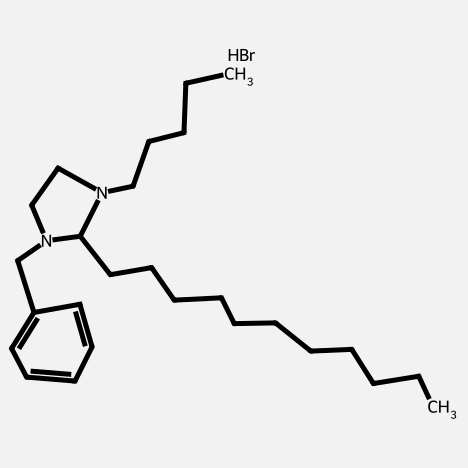 Br.CCCCCCCCCCCC1N(CCCCC)CCN1Cc1ccccc1